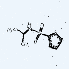 CC(C)NS(=O)(=O)c1cccs1